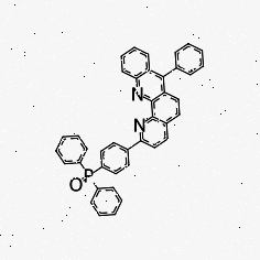 O=P(c1ccccc1)(c1ccccc1)c1ccc(-c2ccc3ccc4c(-c5ccccc5)c5ccccc5nc4c3n2)cc1